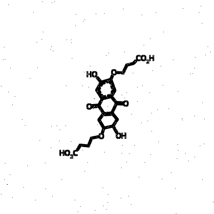 O=C(O)CCCOc1cc2c(cc1O)C(=O)C1=C(CC(O)C(OCCCC(=O)O)C1)C2=O